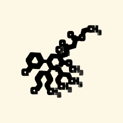 CC/C=C(\C=C/CCl)[C@@H]1[C@@H](c2cccc(Cl)c2)C[C@](C)(CC(=O)CC(=O)OCC)C(OC)N1C(CC)CC